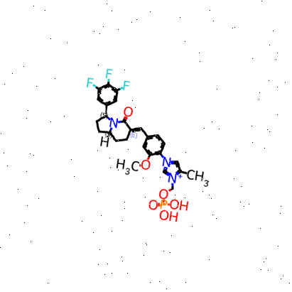 COc1cc(/C=C2\CC[C@H]3CC[C@@H](c4cc(F)c(F)c(F)c4)N3C2=O)ccc1-n1cc(C)[n+](COP(=O)(O)O)c1